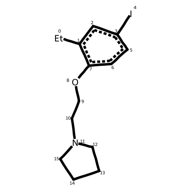 CCc1cc(I)ccc1OCCN1CCCC1